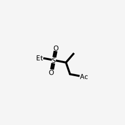 CCS(=O)(=O)C(C)CC(C)=O